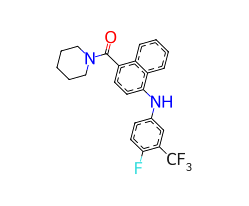 O=C(c1ccc(Nc2ccc(F)c(C(F)(F)F)c2)c2ccccc12)N1CCCCC1